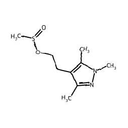 Cc1nn(C)c(C)c1CCOS(C)=O